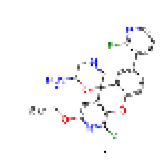 CC(C)(C)COc1cc2c(c(F)n1)Oc1ccc(-c3cccnc3F)cc1[C@@]21C=NCC(N)O1